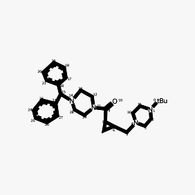 CC(C)(C)N1CCN(CC2CC2C(=O)N2CCN(C(c3ccccc3)c3ccccc3)CC2)CC1